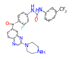 O=C(Nc1cccc(C(F)(F)F)c1)Nc1ccc(C(=O)c2ccc3ncc(N4CCNCC4)nc3c2)c(F)c1